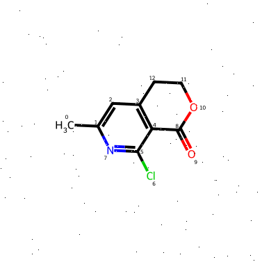 Cc1cc2c(c(Cl)n1)C(=O)OCC2